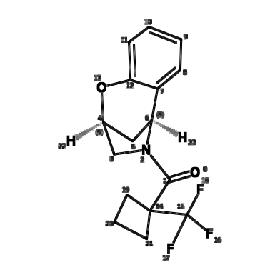 O=C(N1C[C@@H]2C[C@H]1c1ccccc1O2)C1(C(F)(F)F)CCC1